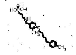 Cc1ccc(CCCCCSc2ccc(CNCCCP(=O)(O)O)cc2C)cc1